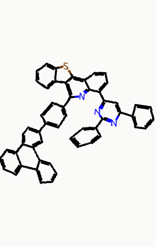 c1ccc(-c2cc(-c3cccc4c3nc(-c3ccc(-c5ccc6c7ccccc7c7ccccc7c6c5)cc3)c3c5ccccc5sc43)nc(-c3ccccc3)n2)cc1